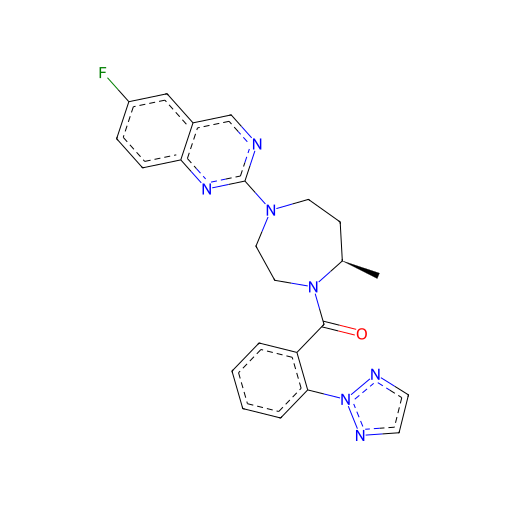 C[C@@H]1CCN(c2ncc3cc(F)ccc3n2)CCN1C(=O)c1ccccc1-n1nccn1